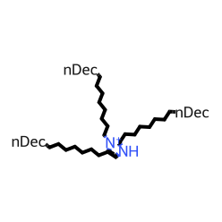 CCCCCCCCCCCCCCCCCC[n+]1c(CCCCCCCCCCCCCCCCC)c[nH]c1CCCCCCCCCCCCCCCCC